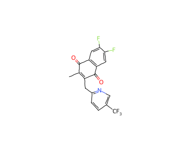 CC1=C(Cc2ccc(C(F)(F)F)cn2)C(=O)c2cc(F)c(F)cc2C1=O